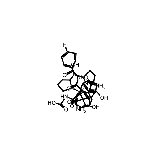 NC(=O)C1(CO)Cc2ccc(cc2)[C@]1(C(=O)NC(=O)O)N1CCCC1N(c1ccc(F)cc1)C1CCCN1[C@@]1(C(=O)NC(=O)O)c2ccc(cc2)CC1(CO)C(N)=O